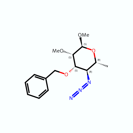 CO[C@H]1O[C@H](C)[C@@H](N=[N+]=[N-])[C@H](OCc2ccccc2)[C@@H]1OC